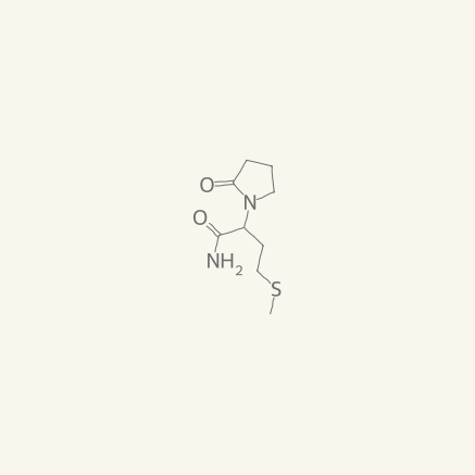 CSCCC(C(N)=O)N1CCCC1=O